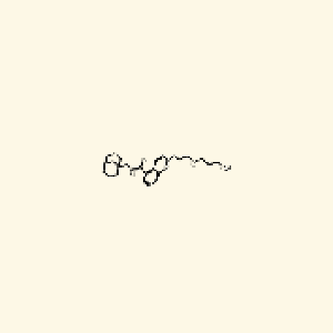 O=C(NCC12CCCC(CCC1)C2)c1cccc2nc(CCCNCCCO)ccc12